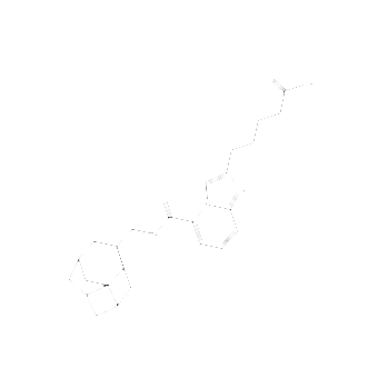 O=C(O)CCCCc1cn2c(C(=O)NCC34CC5CC6CC(C3)C6(C5)C4)cccc2n1